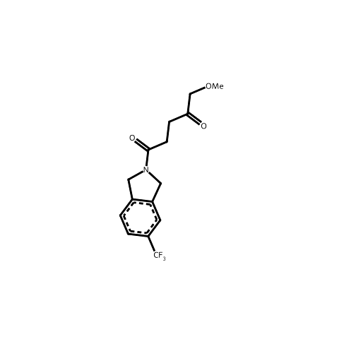 COCC(=O)CCC(=O)N1Cc2ccc(C(F)(F)F)cc2C1